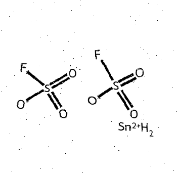 O=S(=O)([O-])F.O=S(=O)([O-])F.[SnH2+2]